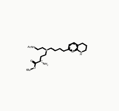 CC(=O)NCCN(CCCCc1ccc2c(n1)NCCC2)CC[C@H](N)C(=O)OC(C)(C)C